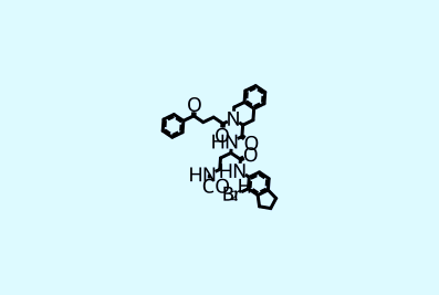 O=C(O)NCCC(NC(=O)C1Cc2ccccc2CN1C(=O)CCC(=O)c1ccccc1)C(=O)Nc1ccc2c(c1Br)CCC2